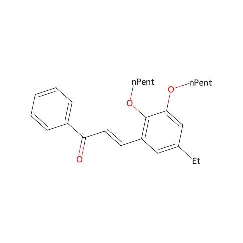 CCCCCOc1cc(CC)cc(C=CC(=O)c2ccccc2)c1OCCCCC